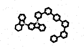 c1ccc(-c2cccc(-c3cccc(-c4ccc(-c5cccc(-c6cccc(-n7c8ccccc8c8ccc(-n9c%10c(c%11ccccc%119)CCCC%10)cc87)c6)c5)cc4)c3)c2)cc1